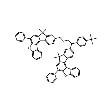 CC(C)(C)c1ccc(C(CCCc2ccc3c(c2)C(C)(C)c2cc(-c4ccccc4)c4oc5ccccc5c4c2-3)c2ccc3c(c2)C(C)(C)c2cc(-c4ccccc4)c4oc5ccccc5c4c2-3)cc1